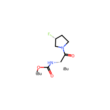 CC[C@H](C)[C@H](NC(=O)OC(C)(C)C)C(=O)N1CC[C@@H](F)C1